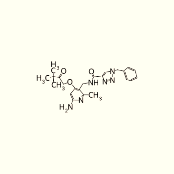 Cc1nc(N)cc(OCC(=O)C(C)(C)C)c1CNC(=O)c1cn(Cc2ccccc2)nn1